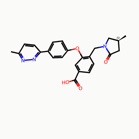 Cc1ccc(-c2ccc(Oc3cc(C(=O)O)ccc3CN3C[C@@H](C)CC3=O)cc2)nn1